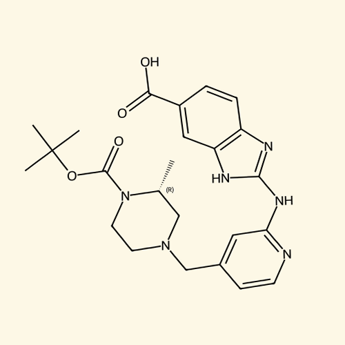 C[C@@H]1CN(Cc2ccnc(Nc3nc4ccc(C(=O)O)cc4[nH]3)c2)CCN1C(=O)OC(C)(C)C